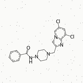 O=C(NN1CCN(Cc2cn3cc(Cl)cc(Cl)c3n2)CC1)c1ccccc1